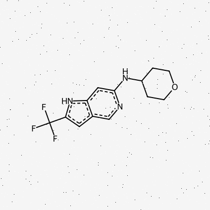 FC(F)(F)c1cc2cnc(NC3CCOCC3)cc2[nH]1